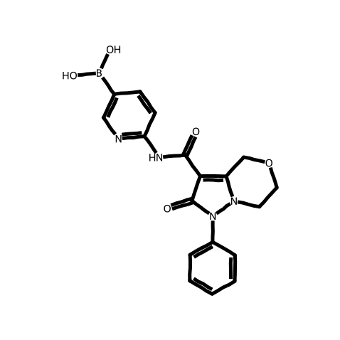 O=C(Nc1ccc(B(O)O)cn1)c1c2n(n(-c3ccccc3)c1=O)CCOC2